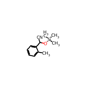 Cc1ccccc1C(C#N)O[Si](C)(C)C